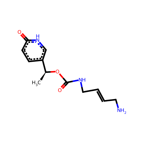 C[C@H](OC(=O)NC/C=C/CN)c1ccc(=O)[nH]c1